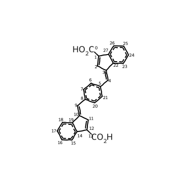 O=C(O)C1=C/C(=C\c2ccc(/C=C3\C=C(C(=O)O)c4ccccc43)cc2)c2ccccc21